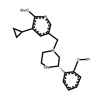 COc1ncc(CN2CCN[C@@H](c3ccccc3OC(C)C)C2)cc1C1CC1